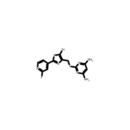 CCc1sc(-c2ccnc(F)c2)nc1CSc1nc(N)cc(N)n1